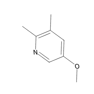 COc1cnc(C)c(C)c1